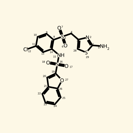 Nc1nc(CS(=O)(=O)c2ccc(Cl)cc2NS(=O)(=O)c2cc3ccccc3o2)cs1